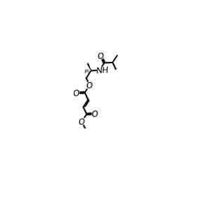 COC(=O)C=CC(=O)OC[C@@H](C)NC(=O)C(C)C